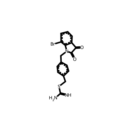 N=C(N)SCc1ccc(CN2C(=O)C(=O)c3cccc(Br)c32)cc1